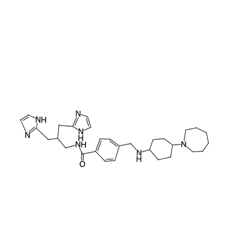 O=C(NCC(Cc1ncc[nH]1)Cc1ncc[nH]1)c1ccc(CNC2CCC(N3CCCCCC3)CC2)cc1